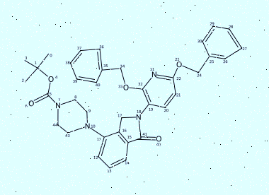 CC(C)(C)OC(=O)N1CCN(c2cccc3c2CN(c2ccc(OCc4ccccc4)nc2OCc2ccccc2)C3=O)CC1